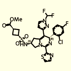 COC(=O)[C@H]1C[C@@H](S(=O)(=O)N[C@H]2CC3=C(c4ccn(C(F)F)n4)[C@H](c4ccc(F)cc4Cl)N=C(c4nccs4)N3C2)C1